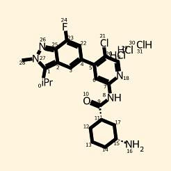 CC(C)c1c2cc(-c3cc(NC(=O)[C@H]4CCC[C@@H](N)C4)ncc3Cl)cc(F)c2nn1C.Cl.Cl.Cl